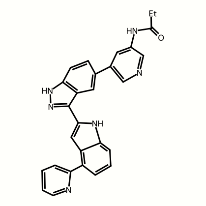 CCC(=O)Nc1cncc(-c2ccc3[nH]nc(-c4cc5c(-c6ccccn6)cccc5[nH]4)c3c2)c1